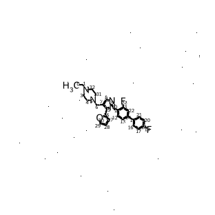 CCN1CCN(Cc2cnn(-c3ccc(-c4ccc(F)cc4)cc3F)c2-c2ccco2)CC1